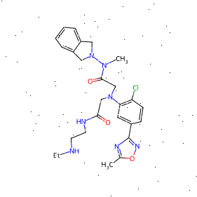 CCNCCNC(=O)CN(CC(=O)N(C)N1Cc2ccccc2C1)c1cc(-c2noc(C)n2)ccc1Cl